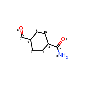 NC(=O)C1CCC(C=O)CC1